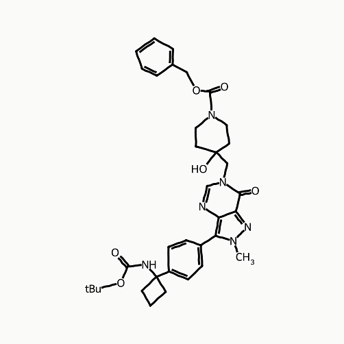 Cn1nc2c(=O)n(CC3(O)CCN(C(=O)OCc4ccccc4)CC3)cnc2c1-c1ccc(C2(NC(=O)OC(C)(C)C)CCC2)cc1